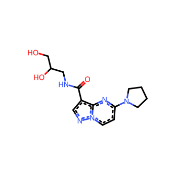 O=C(NCC(O)CO)c1cnn2ccc(N3CCCC3)nc12